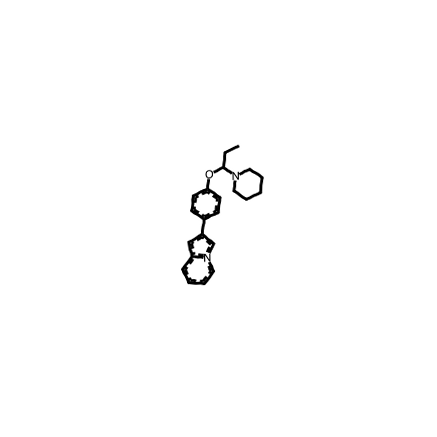 CCC(Oc1ccc(-c2cc3ccccn3c2)cc1)N1CCCCC1